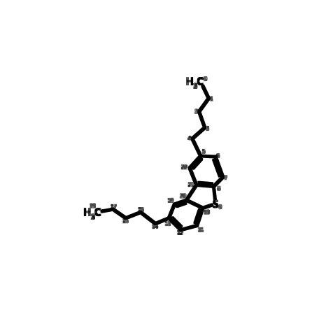 CCCCCc1ccc2sc3ccc(CCCCC)cc3c2c1